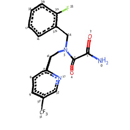 NC(=O)C(=O)N(Cc1ccc(C(F)(F)F)cn1)Cc1ccccc1F